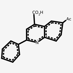 CC(=O)c1ccc2nc(-c3ccccc3)cc(C(=O)O)c2c1